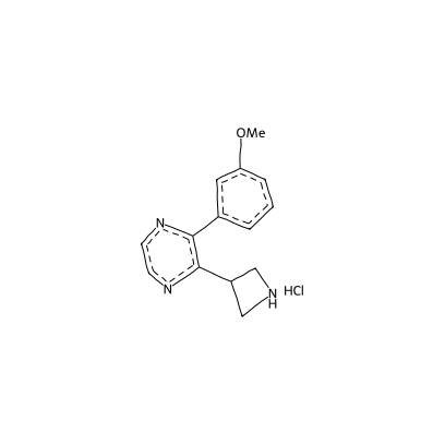 COc1cccc(-c2nccnc2C2CNC2)c1.Cl